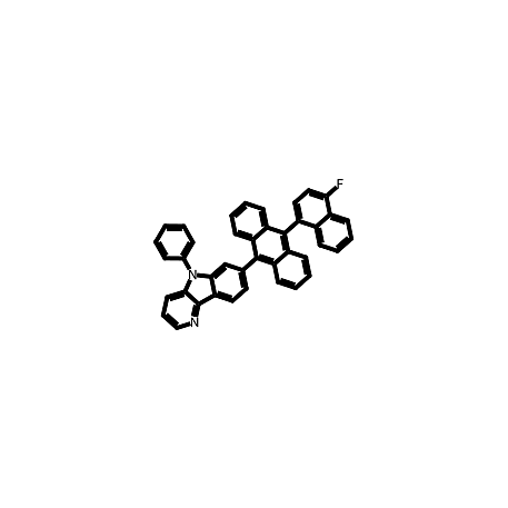 Fc1ccc(-c2c3ccccc3c(-c3ccc4c5ncccc5n(-c5ccccc5)c4c3)c3ccccc23)c2ccccc12